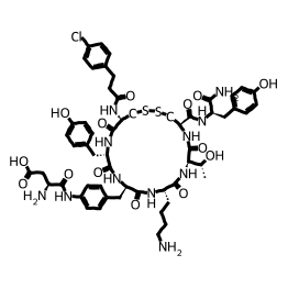 C[C@@H](O)[C@@H]1NC(=O)[C@H](CCCCN)NC(=O)[C@@H](Cc2ccc(NC(=O)[C@@H](N)CC(=O)O)cc2)NC(=O)[C@H](Cc2ccc(O)cc2)NC(=O)[C@H](NC(=O)CCc2ccc(Cl)cc2)CSSC[C@@H](C(=O)N[C@H](Cc2ccc(O)cc2)C(N)=O)NC1=O